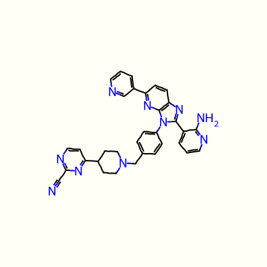 N#Cc1nccc(C2CCN(Cc3ccc(-n4c(-c5cccnc5N)nc5ccc(-c6cccnc6)nc54)cc3)CC2)n1